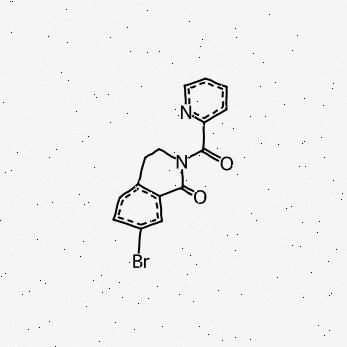 O=C(c1ccccn1)N1CCc2ccc(Br)cc2C1=O